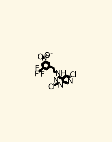 O=[N+]([O-])c1cc(CCNc2nc(Cl)nc3cnc(Cl)cc23)cc(C(F)(F)F)c1